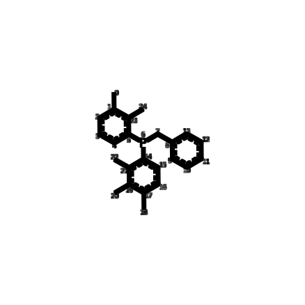 Cc1cccc(P(Cc2ccccc2)c2ccc(C)c(C)c2C)c1C